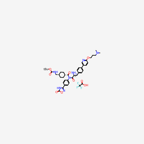 CN(C)CCCOc1ccc(-c2ccc(C[C@H](N)C(=O)N(c3ccc(-c4noc(=O)[nH]4)cc3)C(=O)[C@H]3CC[C@H](CNC(=O)OC(C)(C)C)CC3)cc2)cn1.O=C(O)C(F)(F)F